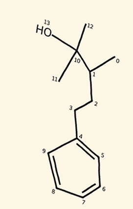 CC(CCc1ccccc1)C(C)(C)O